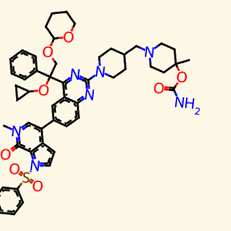 Cc1ccc(S(=O)(=O)n2ccc3c(-c4ccc5nc(N6CCC(CN7CCC(C)(OC(N)=O)CC7)CC6)nc(C(COC6CCCCO6)(OC6CC6)c6ccccc6)c5c4)cn(C)c(=O)c32)cc1